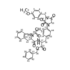 COc1ccc(CN2C(=O)CN(c3ccc(CC(NC(=O)C(Cc4ccccc4)NC(C)=O)C(=O)OCc4ccccc4)cc3)S2(=O)=O)cc1